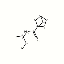 CC[C@@H](C)NC(=O)C12CC(CO1)C2